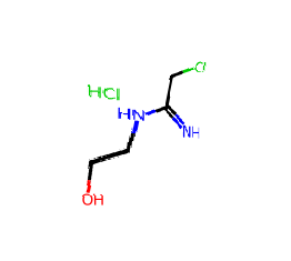 Cl.N=C(CCl)NCCO